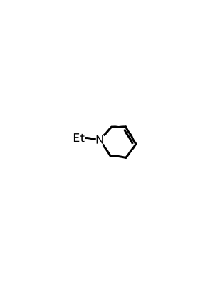 [CH2]CN1CC=CCC1